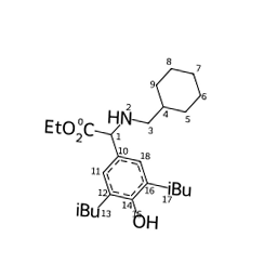 CCOC(=O)C(NCC1CCCCC1)c1cc(C(C)CC)c(O)c(C(C)CC)c1